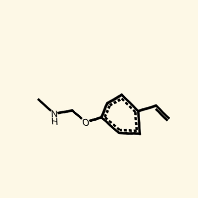 C=Cc1ccc(OCNC)cc1